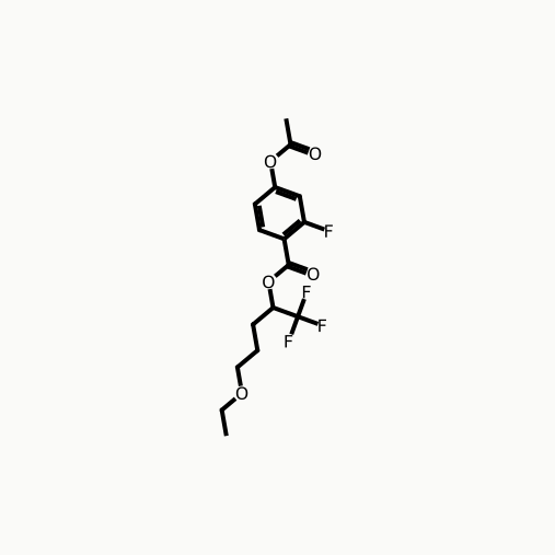 CCOCCCC(OC(=O)c1ccc(OC(C)=O)cc1F)C(F)(F)F